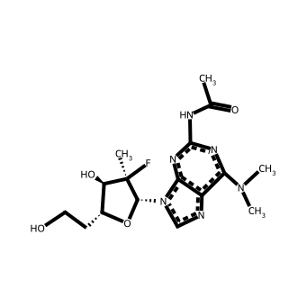 CC(=O)Nc1nc(N(C)C)c2ncn([C@@H]3O[C@H](CCO)[C@@H](O)[C@@]3(C)F)c2n1